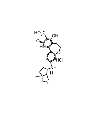 Cl.O=C(O)c1c(O)c2c([nH]c1=O)-c1ccc(NC3CC[C@@H]4CNC[C@H]34)cc1OCC2